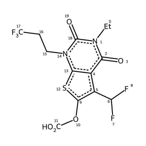 CCn1c(=O)c2c(C(F)F)c(OC(=O)O)sc2n(CCC(F)(F)F)c1=O